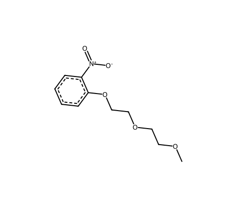 COCCOCCOc1ccccc1[N+](=O)[O-]